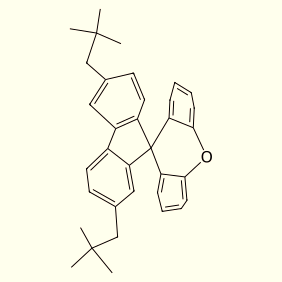 CC(C)(C)Cc1ccc2c(c1)-c1ccc(CC(C)(C)C)cc1C21c2ccccc2Oc2ccccc21